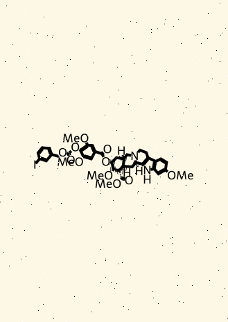 COC(=O)[C@H]1[C@H]2C[C@@H]3c4[nH]c5cc(OC)ccc5c4CCN3C[C@H]2C[C@@H](OC(=O)c2cc(OC)c(OC(=O)OCc3cccc(I)c3)c(OC)c2)[C@@H]1OC